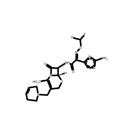 Nc1nc(C(=NOC(F)F)C(=O)NC2C(=O)N3C(C(=O)O)=C(CN4CC=CCC4)CS[C@@H]23)cs1